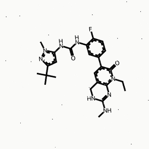 CCn1c2c(cc(-c3ccc(F)c(NC(=O)Nc4cc(C(C)(C)C)nn4C)c3)c1=O)CNC(NC)=N2